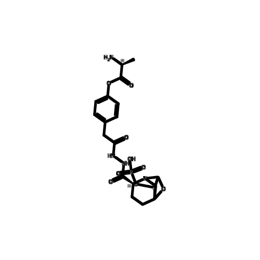 C[C@H](N)C(=O)Oc1ccc(CC(=O)NNC(=O)[C@@H]2CCC34CN2C(O3)N4OS(=O)(=O)O)cc1